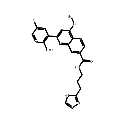 CCOc1cc(-c2cc(F)cnc2OC)nc2cc(C(=O)NCCCc3nnc[nH]3)ccc12